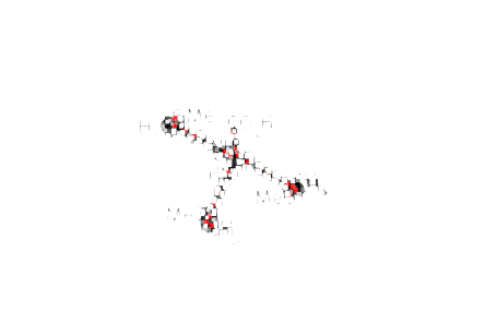 CO[C@H]1C[C@H]2OC(C)(C)O[C@H]2[C@@H](COCCOCCOCCOCCNC(=O)CCOCC(COCCC(=O)NCCOCCOCCOCCOC[C@H]2O[C@@H](OC)C[C@H]3OC(C)(C)O[C@@H]23)(COCCC(=O)NCCOCCOCCOCCOC[C@H]2O[C@@H](OC)C[C@H]3OC(C)(C)O[C@@H]23)NC(=O)c2ccc(-c3ccc(C(=O)O)cc3)cc2)O1